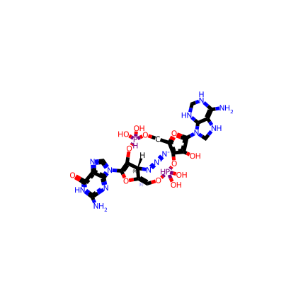 [N-]=[N+]=N[C@H]1C2=C(n3cnc4c(=O)[nH]c(N)nc43)O/C1=C/O[PH](O)(O)Oc1c(oc(N3CNC4=C(N)NCNC43)c1O)CO[PH](O)(O)O2